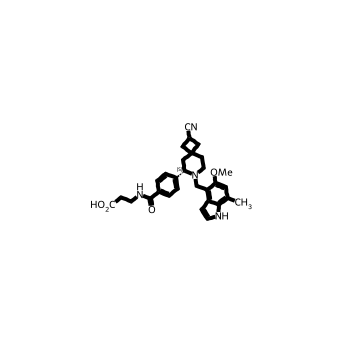 COc1cc(C)c2[nH]ccc2c1CN1CCC2(CC(C#N)C2)C[C@H]1c1ccc(C(=O)NCCC(=O)O)cc1